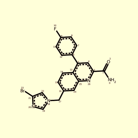 NC(=O)c1cc(-c2ccc(F)cc2)c2ccc(Cn3cnc(Br)c3)cc2n1